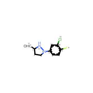 O=CC1CCN(c2ccc(F)c(Cl)c2)N1